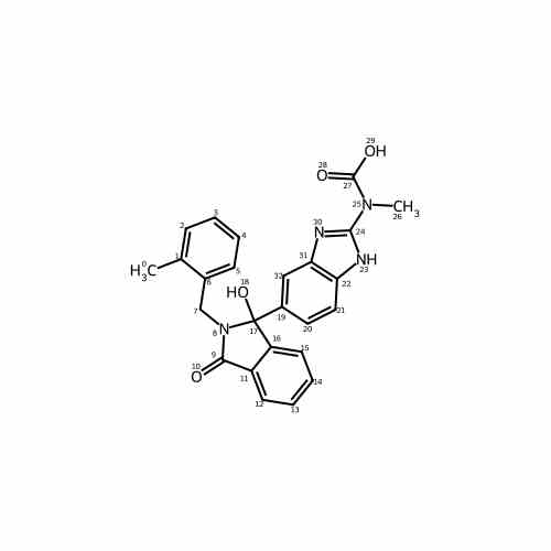 Cc1ccccc1CN1C(=O)c2ccccc2C1(O)c1ccc2[nH]c(N(C)C(=O)O)nc2c1